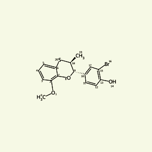 COc1cccc2c1O[C@@H](c1ccc(O)c(Br)c1)[C@H](C)S2